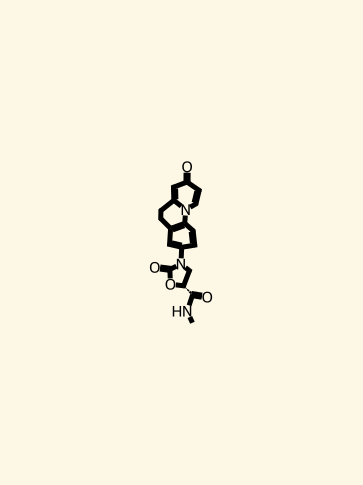 CNC(=O)[C@H]1CN(c2ccc3c(c2)CCc2cc(=O)ccn2-3)C(=O)O1